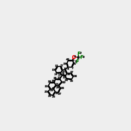 FC(F)(F)Oc1ccc(-c2c3ccccc3c(-c3cc4ccc5cccc6ccc(c3)c4c56)c3ccccc23)cc1